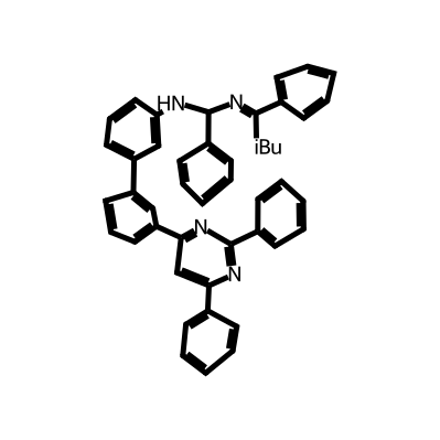 CCC(C)/C(=N\C(Nc1cccc(-c2cccc(-c3cc(-c4ccccc4)nc(-c4ccccc4)n3)c2)c1)c1ccccc1)c1ccccc1